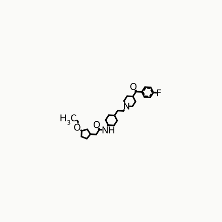 CCOC1CCC(CC(=O)NC2CCC(CCN3CCC(C(=O)c4ccc(F)cc4)CC3)CC2)C1